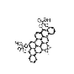 COc1cc2c3ccccc3c(OS(=O)(=O)O)c3ccc4c5ccc6c(OS(=O)(=O)O)c7ccccc7c7cc(OC)c(c1c4c32)c5c67